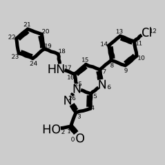 O=C(O)c1cc2nc(-c3ccc(Cl)cc3)cc(NCc3ccccc3)n2n1